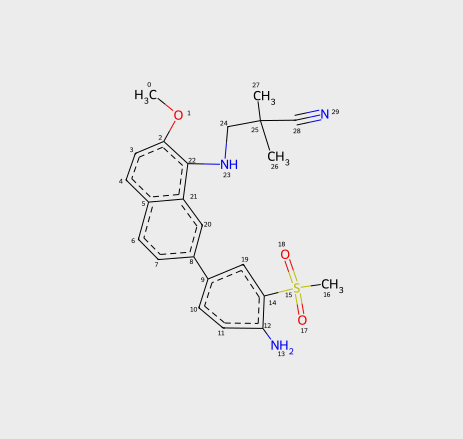 COc1ccc2ccc(-c3ccc(N)c(S(C)(=O)=O)c3)cc2c1NCC(C)(C)C#N